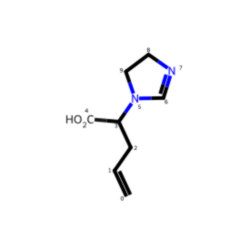 C=CCC(C(=O)O)N1C=NCC1